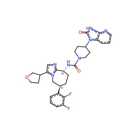 O=C(N[C@@H]1CC[C@@H](c2cccc(F)c2F)Cn2c(C3CCOC3)cnc21)N1CCC(n2c(=O)[nH]c3ncccc32)CC1